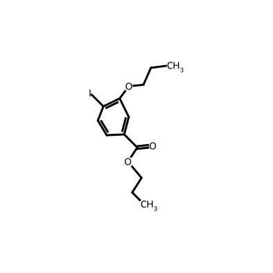 CCCOC(=O)c1ccc(I)c(OCCC)c1